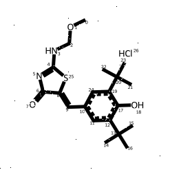 COCNC1=NC(=O)C(=Cc2cc(C(C)(C)C)c(O)c(C(C)(C)C)c2)S1.Cl